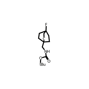 CC(C)(C)OC(=O)NCC12CCC(F)(CC1)CC2